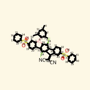 Cc1cc(C)c(B2c3cc(S(=O)(=O)c4ccccc4)ccc3-c3c(F)c4c(c(F)c32)-c2ccc(S(=O)(=O)c3ccccc3)cc2C4=C(C#N)C#N)c(C)c1